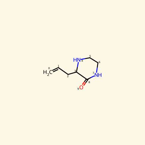 C=CCC1NCCNC1=O